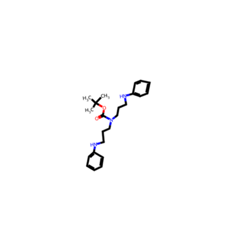 CC(C)(C)OC(=O)N(CCCNc1ccccc1)CCCNc1ccccc1